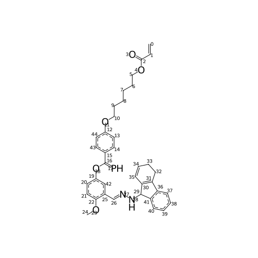 C=CC(=O)OCCCCCCOc1ccc(C(=P)Oc2ccc(OC)c(/C=N/NC3C4=C(CCC=C4)c4ccccc43)c2)cc1